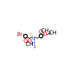 C#CCOc1ccc(CCNC(=S)C(OC(C)=O)c2ccc(Br)cc2)cc1OC